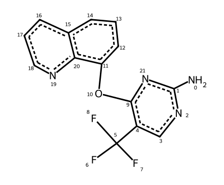 Nc1ncc(C(F)(F)F)c(Oc2cccc3cccnc23)n1